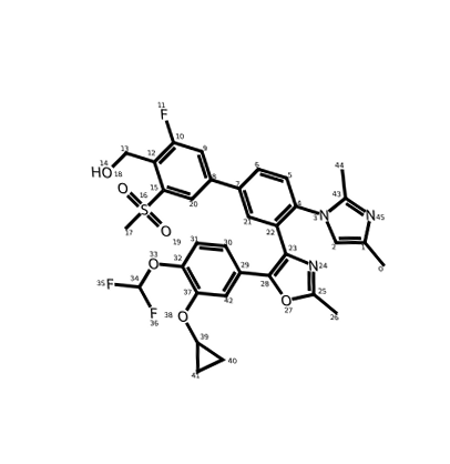 Cc1cn(-c2ccc(-c3cc(F)c(CO)c(S(C)(=O)=O)c3)cc2-c2nc(C)oc2-c2ccc(OC(F)F)c(OC3CC3)c2)c(C)n1